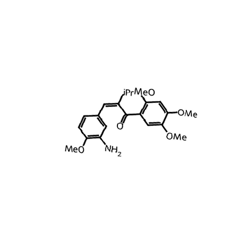 COc1ccc(C=C(C(=O)c2cc(OC)c(OC)cc2OC)C(C)C)cc1N